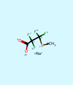 CSC(F)(F)C(F)(F)C(=O)[O-].[Na+]